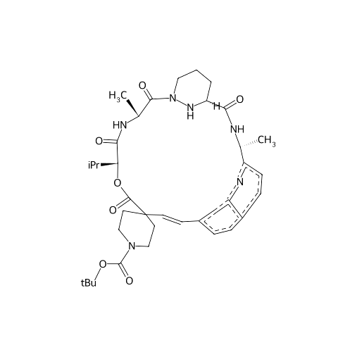 CC(C)[C@@H]1OC(=O)C2(/C=C/c3ccc4ccc(nc4c3)[C@@H](C)NC(=O)[C@@H]3CCCN(N3)C(=O)[C@H](C)NC1=O)CCN(C(=O)OC(C)(C)C)CC2